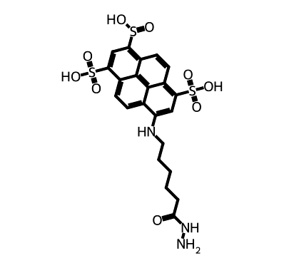 NNC(=O)CCCCCNc1cc(S(=O)(=O)O)c2ccc3c(S(=O)O)cc(S(=O)(=O)O)c4ccc1c2c34